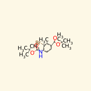 Cc1c(C(=O)OC(C)(C)C)ccc(NC(=O)OC(C)(C)C)c1Br